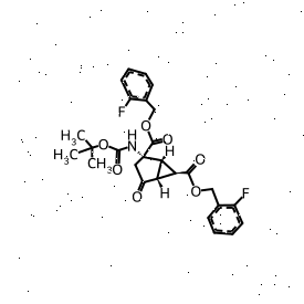 CC(C)(C)OC(=O)N[C@@]1(C(=O)OCc2ccccc2F)CC(=O)[C@H]2[C@H](C(=O)OCc3ccccc3F)[C@H]21